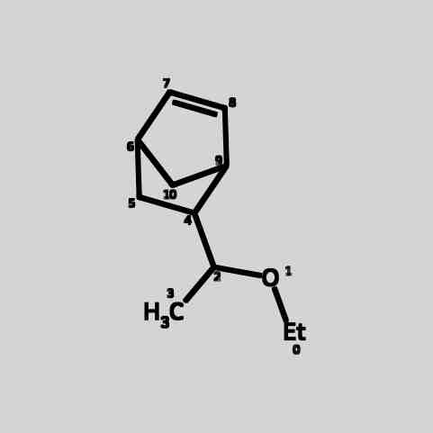 CCOC(C)C1CC2C=CC1C2